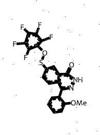 COc1ccccc1-c1n[nH]c(=O)c2cc(SOc3c(F)c(F)c(F)c(F)c3F)ccc12